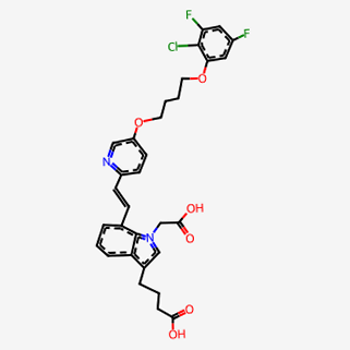 O=C(O)CCCc1cn(CC(=O)O)c2c(/C=C/c3ccc(OCCCCOc4cc(F)cc(F)c4Cl)cn3)cccc12